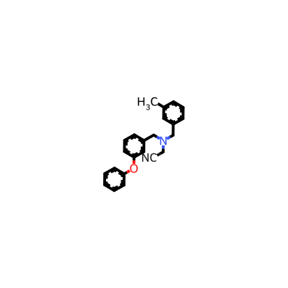 Cc1cccc(CN(CC#N)Cc2cccc(Oc3ccccc3)c2)c1